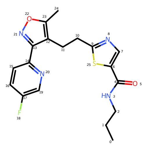 CCCNC(=O)c1cnc(CCc2c(-c3ccc(F)cn3)noc2C)s1